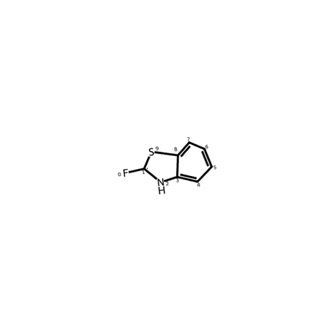 F[C]1Nc2ccccc2S1